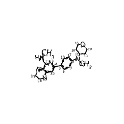 CNc1nc(-c2ccc(N(C)C3CCOCC3)cc2)cc2c1=NCCN=2